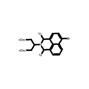 [2H]C1c2cccc3c(Br)ccc(c23)C([2H])N1C(CCCCCCCCCCC)CCCCCCCCCCC